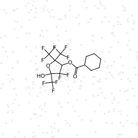 O=C(OC1C(F)(F)C(O)(C(F)(F)F)OC1(C(F)(F)F)C(F)(F)F)C1CCCCC1